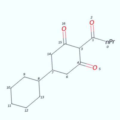 CCCC(=O)C1C(=O)CC(C2CCCCC2)CC1=O